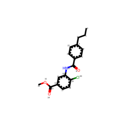 CCCc1ccc(C(=O)Nc2cc(C(=O)OC)ccc2Cl)cc1